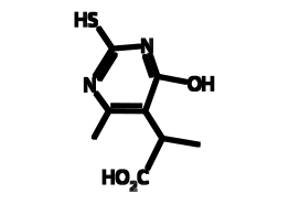 Cc1nc(S)nc(O)c1C(C)C(=O)O